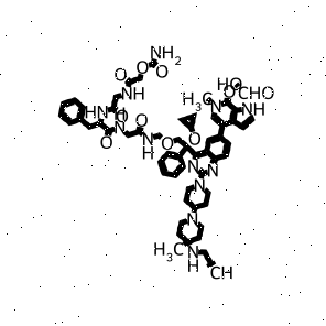 C#CCNC1(C)CCN(C2CCN(c3nc(C(COCNC(=O)CNC(=O)C(Cc4ccccc4)NC(=O)CNC(=O)COC(N)=O)(OC4CC4)c4ccccc4)c4cc(-c5cn(C)c(=O)c6[nH]ccc56)ccc4n3)CC2)CC1.O=CO